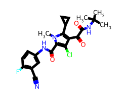 Cn1c(C(=O)Nc2ccc(F)c(C#N)c2)c(Cl)c(C(=O)C(=O)NC(C)(C)C)c1C1CC1